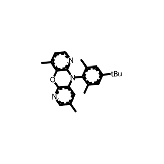 Cc1cnc2c(c1)N(c1c(C)cc(C(C)(C)C)cc1C)c1nccc(C)c1O2